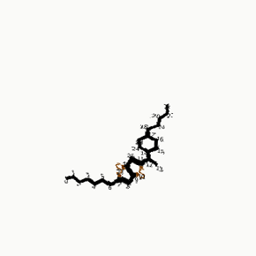 CCCCCCCc1cc2sc(C(C)C3CCC(CCCCC)CC3)cc2s1